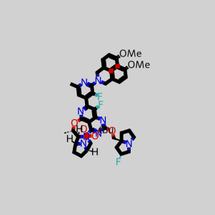 COc1ccc(CN(Cc2ccc(OC)cc2)c2nc(C)cc(-c3nc4c5c(nc(OC[C@@]67CCCN6C[C@H](F)C7)nc5c3F)N3C[C@H]5CC[C@@H]([C@H]3[C@H](C)O4)N5C(=O)OC(C)(C)C)c2F)cc1